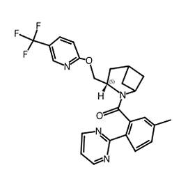 Cc1ccc(-c2ncccn2)c(C(=O)N2C3CC(C3)C[C@H]2COc2ccc(C(F)(F)F)cn2)c1